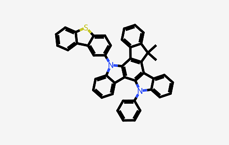 CC1(C)c2ccccc2-c2c1c1c3ccccc3n(-c3ccccc3)c1c1c3ccccc3n(-c3ccc4sc5ccccc5c4c3)c21